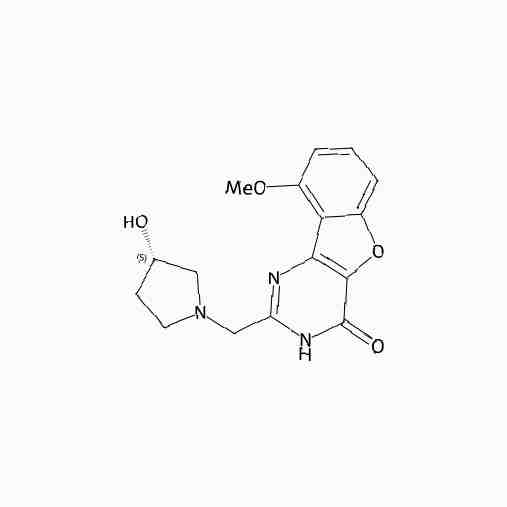 COc1cccc2oc3c(=O)[nH]c(CN4CC[C@H](O)C4)nc3c12